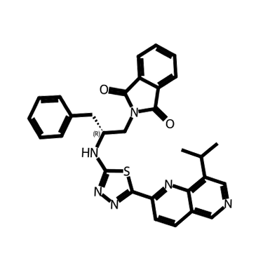 CC(C)c1cncc2ccc(-c3nnc(N[C@H](Cc4ccccc4)CN4C(=O)c5ccccc5C4=O)s3)nc12